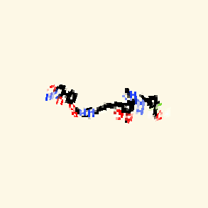 COc1cc2c(NC(C)c3cccc(C(F)(F)CO)c3)nc(C)nc2c(CCCCCCN2CCN(C(=O)COc3cccc(C4CCC(=O)NC4=O)c3)CC2)c1OC